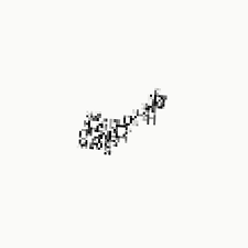 COC(=O)[C@H](Cc1ccc(OCCCCNC2=NCCO2)cc1)NC(=O)c1c(Cl)cccc1Cl